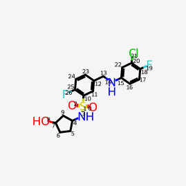 O=S(=O)(NC1CCC(O)C1)c1cc(CNc2ccc(F)c(Cl)c2)ccc1F